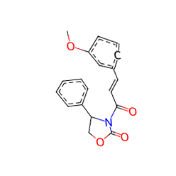 COc1cccc(C=CC(=O)N2C(=O)OCC2c2ccccc2)c1